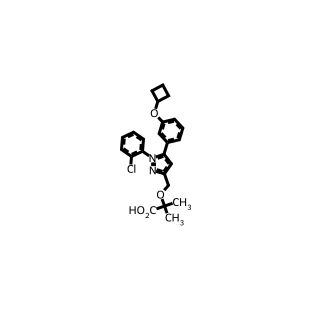 CC(C)(OCc1cc(-c2cccc(OC3CCC3)c2)n(-c2ccccc2Cl)n1)C(=O)O